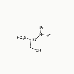 CCN(C(C)C)C(C)C.O=S(=O)(O)CCO